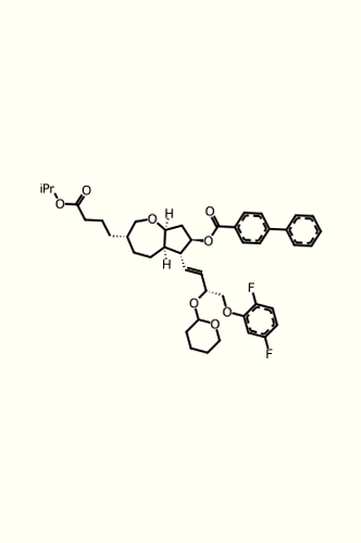 CC(C)OC(=O)CCC[C@H]1CC[C@@H]2[C@@H](C=C[C@H](COc3cc(F)ccc3F)OC3CCCCO3)[C@H](OC(=O)c3ccc(-c4ccccc4)cc3)C[C@@H]2OC1